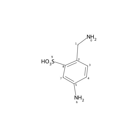 NCc1ccc(N)cc1S(=O)(=O)O